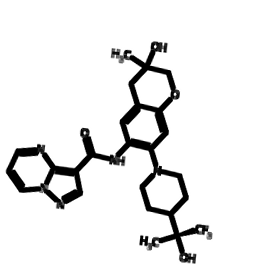 CC1(O)COc2cc(N3CCC([C@@](C)(O)C(F)(F)F)CC3)c(NC(=O)c3cnn4cccnc34)cc2C1